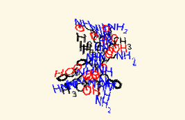 CCC(C)[C@H](NC(=O)[C@@H](N)CCC(N)=O)C(=O)N[C@@H](CC(N)=O)C(=O)N[C@H](C(=O)N[C@@H](C)C(=O)N[C@@H](CCCCN)C(=O)N[C@@H](Cc1c[nH]c2ccccc12)C(=O)N[C@@H](Cc1c[nH]c2ccccc12)C(=O)N[C@@H](CCCCN)C(=O)N[C@H](C(=O)N[C@@H](Cc1c[nH]cn1)C(=O)N[C@@H](Cc1ccccc1)C(=O)O)C(C)O)C(C)O